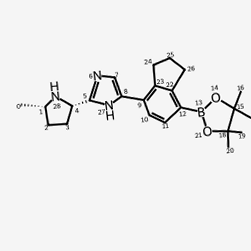 C[C@H]1CC[C@@H](c2ncc(-c3ccc(B4OC(C)(C)C(C)(C)O4)c4c3CCC4)[nH]2)N1